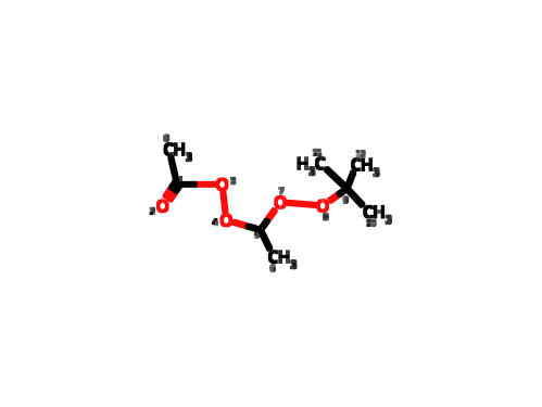 CC(=O)OOC(C)OOC(C)(C)C